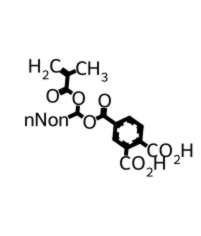 C=C(C)C(=O)OC(CCCCCCCCC)OC(=O)c1ccc(C(=O)O)c(C(=O)O)c1